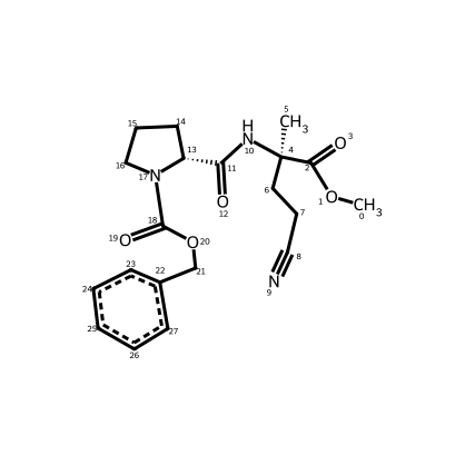 COC(=O)[C@@](C)(CCC#N)NC(=O)[C@H]1CCCN1C(=O)OCc1ccccc1